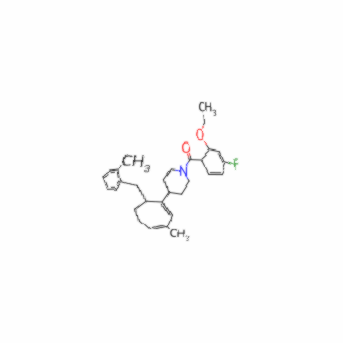 CCOC1C=C(F)C=CC1C(=O)N1CCC(C2=CC(C)=CCCC2Cc2ccccc2C)CC1